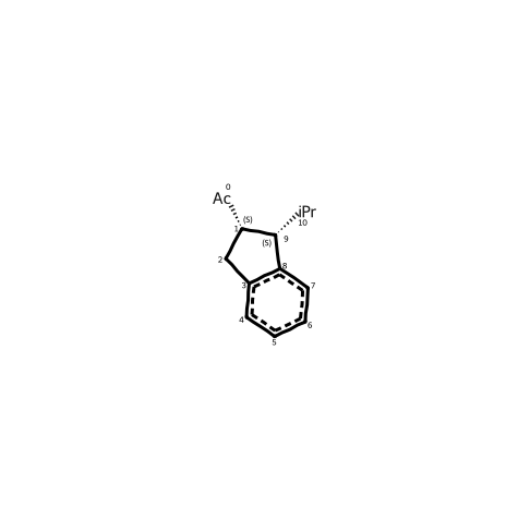 CC(=O)[C@H]1Cc2ccccc2[C@H]1C(C)C